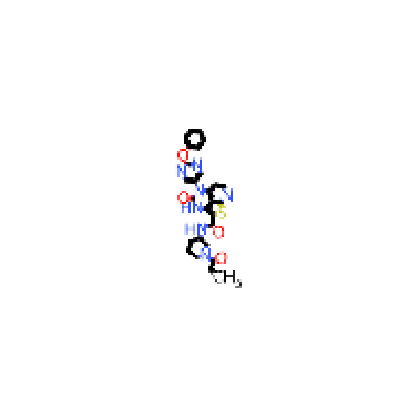 C=CC(=O)N1CCCC(NC(=O)c2sc3nccc4c3c2NC(=O)N4c2cnc(Oc3ccccc3)nc2)C1